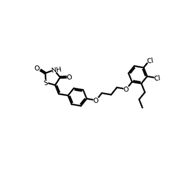 CCCc1c(OCCCOc2ccc(C=C3SC(=O)NC3=O)cc2)ccc(Cl)c1Cl